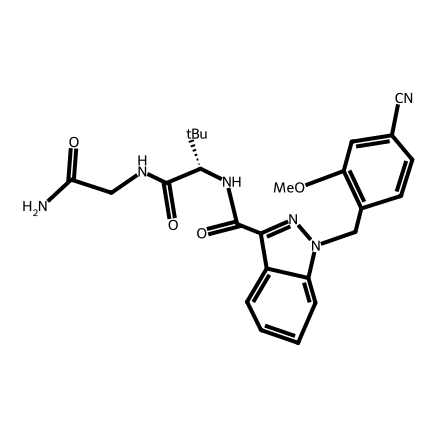 COc1cc(C#N)ccc1Cn1nc(C(=O)N[C@H](C(=O)NCC(N)=O)C(C)(C)C)c2ccccc21